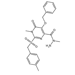 Cc1ccc(CS(=O)(=O)c2nc(C(=O)N(C)N)c(OCc3ccccc3)c(=O)n2C)cc1